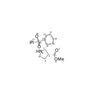 COC(=O)[C@@H]1CCN[C@@H]1c1ccccc1S(=O)(=O)C(C)C